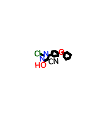 N#Cc1c(O)nc(Cl)nc1-c1ccc(Oc2ccccc2)cc1